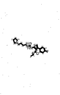 CCOC(=O)c1c(-c2ccc(F)cc2)csc1NC(=O)NCCCCN1CCCC1